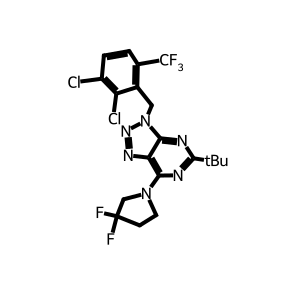 CC(C)(C)c1nc(N2CCC(F)(F)C2)c2nnn(Cc3c(C(F)(F)F)ccc(Cl)c3Cl)c2n1